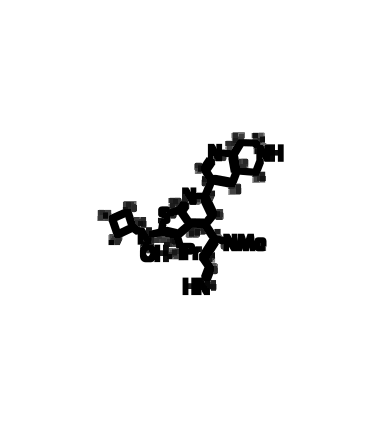 CN/C(=C\C=N)c1cc(-c2cnc3c(c2)CNCC3)nc2sc(N(O)C3CCC3)c(C(C)C)c12